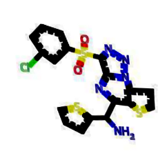 NC(c1cccs1)c1nc2c(S(=O)(=O)c3cccc(Cl)c3)nnn2c2ccsc12